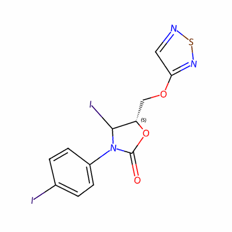 O=C1O[C@@H](COc2cnsn2)C(I)N1c1ccc(I)cc1